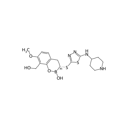 COc1ccc2c(c1CO)OB(O)[C@@H](Sc1nnc(NC3CCNCC3)s1)C2